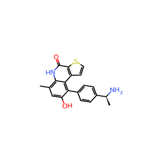 Cc1cc(O)c(-c2ccc([C@H](C)N)cc2)c2c1[nH]c(=O)c1sccc12